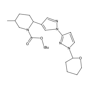 CC1CCC(c2cnn(-c3ccn(C4CCCCO4)n3)c2)N(C(=O)OC(C)(C)C)C1